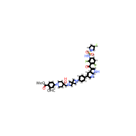 COC(=O)c1ccc(N2CCC(O)(CN3CC4(C3)CN(c3ccc(-c5cnc6[nH]cc(C(=O)c7c(F)ccc(NS(=O)(=O)N8CC[C@@H](F)C8)c7F)c6c5)cc3)C4)CC2)cc1C=O